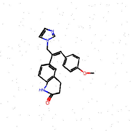 COc1ccc(C=C(Cn2ccnc2)c2ccc3c(c2)CCC(=O)N3)cc1